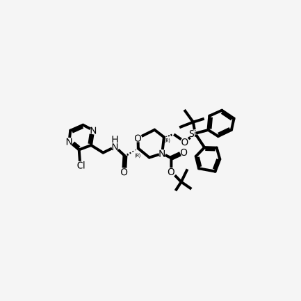 CC(C)(C)OC(=O)N1C[C@H](C(=O)NCc2nccnc2Cl)OC[C@@H]1CO[Si](c1ccccc1)(c1ccccc1)C(C)(C)C